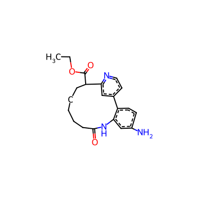 CCOC(=O)C1CCCCCC(=O)Nc2cc(N)ccc2-c2ccnc1c2